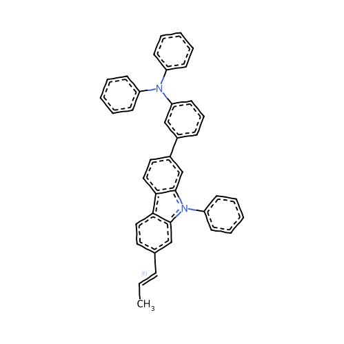 C/C=C/c1ccc2c3ccc(-c4cccc(N(c5ccccc5)c5ccccc5)c4)cc3n(-c3ccccc3)c2c1